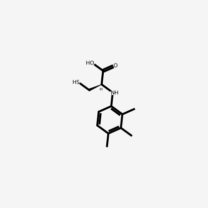 Cc1ccc(N[C@@H](CS)C(=O)O)c(C)c1C